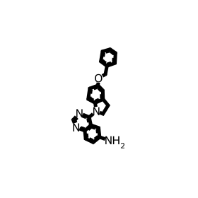 Nc1ccc2ncnc(N3CCc4cc(OCc5ccccc5)ccc43)c2c1